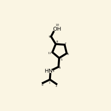 CC(C)NCC1CCC(CO)C1